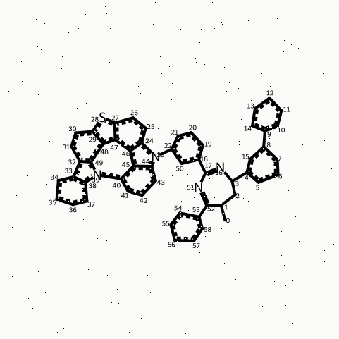 CC1CC(c2cccc(-c3ccccc3)c2)N=C(c2cccc(-n3c4ccc5sc6ccc7c8ccccc8n8c9cccc3c9c4c5c6c78)c2)N=C1c1ccccc1